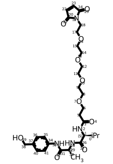 CC(C)[C@H](NC(=O)CCOCCOCCOCCOCCN1C(=O)C=CC1=O)C(=O)N[C@@H](C)C(=O)Nc1ccc(CO)cc1